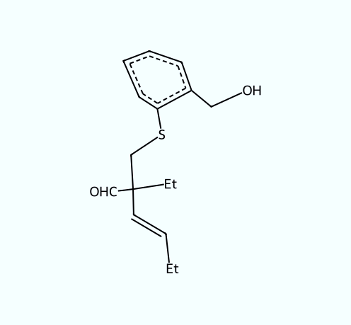 CCC=CC(C=O)(CC)CSc1ccccc1CO